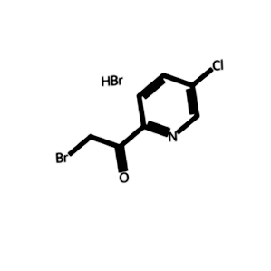 Br.O=C(CBr)c1ccc(Cl)cn1